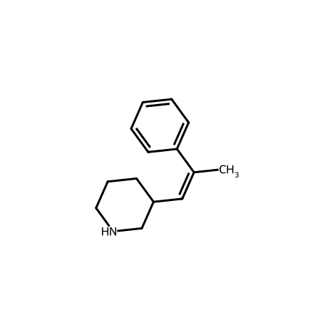 C/C(=C/C1CCCNC1)c1ccccc1